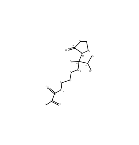 C=C(C)C(=O)OCCCOC(C)(C(C)C)N1CCCC1=O